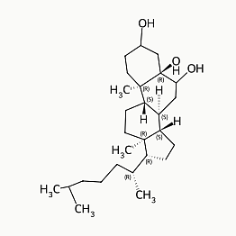 CC(C)CCC[C@@H](C)[C@H]1CC[C@H]2[C@@H]3CC(O)[C@@]4(O)CC(O)CC[C@]4(C)[C@H]3CC[C@]12C